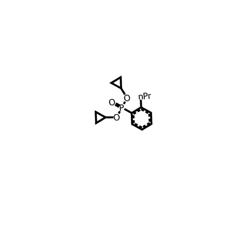 CCCc1ccccc1P(=O)(OC1CC1)OC1CC1